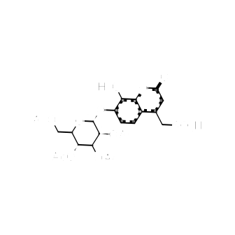 CC(=O)OCC1O[C@@H](Oc2ccc3c(CS(=O)(=O)O)cc(=O)oc3c2C)[C@@H](OC(C)=O)C(OC(C)=O)[C@H]1OC(C)=O